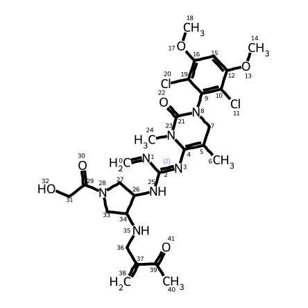 C=N/C(=N\C1=C(C)CN(c2c(Cl)c(OC)cc(OC)c2Cl)C(=O)N1C)NC1CN(C(=O)CO)CC1NCC(=C)C(C)=O